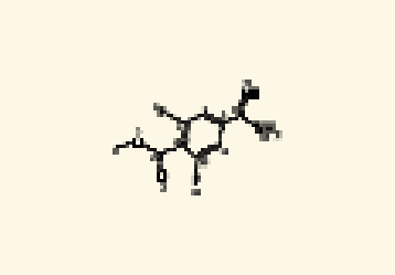 COC(=O)c1c(F)cc(C(=N)N)cc1F